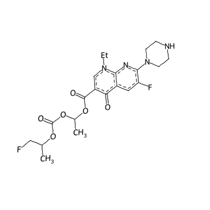 CCn1cc(C(=O)OC(C)OC(=O)OC(C)CF)c(=O)c2cc(F)c(N3CCNCC3)nc21